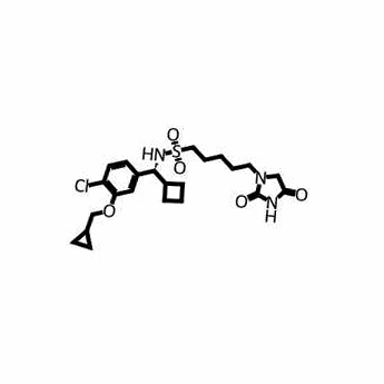 O=C1CN(CCCCCS(=O)(=O)N[C@@H](c2ccc(Cl)c(OCC3CC3)c2)C2CCC2)C(=O)N1